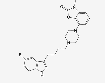 Cn1c(=O)oc2c(N3CCN(CCCCc4c[nH]c5ccc(F)cc45)CC3)cccc21